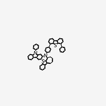 C1=CCC(N(c2ccc(-c3cccc4c3sc3c(-c5ccccc5)cccc34)cc2)c2ccc3c4ccccc4n(-c4ccccc4)c3c2)=c2sc3ccccc3c2=C1